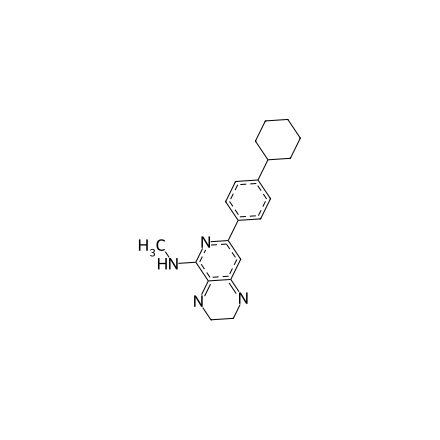 CNc1nc(-c2ccc(C3CCCCC3)cc2)cc2c1=NCCN=2